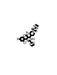 COC(=O)C1=C(C2CCN(S(=O)(=O)c3nccs3)CC2)NC(c2nccs2)=NC1c1ccc(F)cc1Cl